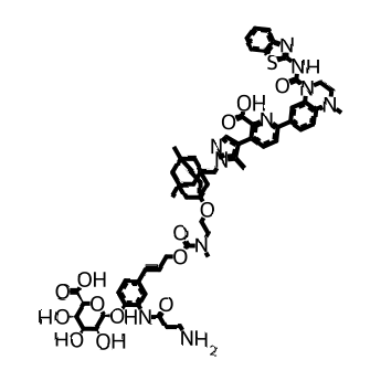 Cc1c(-c2ccc(-c3ccc4c(c3)N(C(=O)Nc3nc5ccccc5s3)CCN4C)nc2C(=O)O)cnn1CC12CC3(C)CC(C)(C1)CC(OCCN(C)C(=O)OCC=Cc1ccc(O[C@@H]4O[C@H](C(=O)O)[C@@H](O)[C@H](O)[C@H]4O)c(NC(=O)CCN)c1)(C3)C2